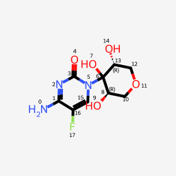 Nc1nc(=O)n(C2(O)[C@H](O)COC[C@H]2O)cc1F